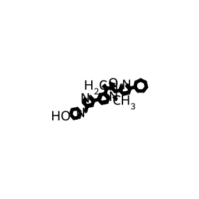 C=C(C(=O)Cc1ccc(C2CCCCCC2)nc1)c1cc(-c2cncc(CN3CCC(O)CC3)c2)ccc1NC